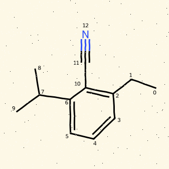 CCc1cccc(C(C)C)c1C#N